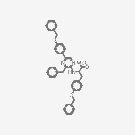 COC(=O)C(Cc1ccc(OCc2ccccc2)cc1)Nc1ncc(-c2ccc(OCc3ccccc3)cc2)nc1Cc1ccccc1